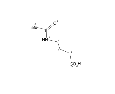 CCC(C)C(=O)NCCCS(=O)(=O)O